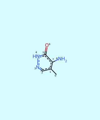 Cc1[c]n[nH]c(=O)c1N